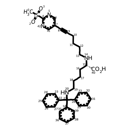 CS(=O)(=O)c1ncc(C#CCCCCN[C@@H](CCCCNC(c2ccccc2)(c2ccccc2)c2ccccc2)C(=O)O)cn1